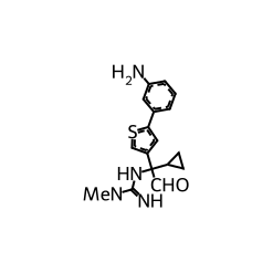 CNC(=N)NC(C=O)(c1csc(-c2cccc(N)c2)c1)C1CC1